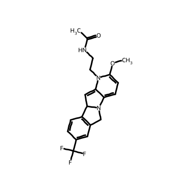 COC1=CC=C2C(=CC3c4ccc(C(F)(F)F)cc4CN23)N1CCNC(C)=O